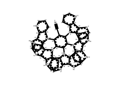 N#Cc1c(-n2c3cccnc3c3ncccc32)c(-n2c3cccnc3c3ncccc32)c(-n2c3cccnc3c3ncccc32)c(-n2c3cccnc3c3ncccc32)c1-n1c2cccnc2c2ncccc21